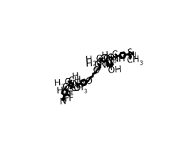 Cc1ncsc1-c1ccc(C(C)NC(=O)[C@@H]2C[C@@H](O)CN2C(=O)[C@@H](NC(=O)COCCCCOc2ccc(C(=O)N[C@H]3C(C)(C)[C@H](Oc4ccc(C#N)c(C(F)(F)F)c4)C3(C)C)cc2)C(C)(C)C)cc1